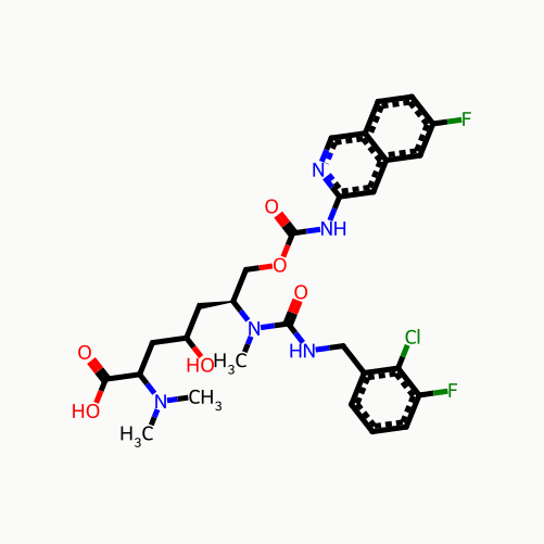 CN(C)C(CC(O)C[C@@H](COC(=O)Nc1cc2cc(F)ccc2cn1)N(C)C(=O)NCc1cccc(F)c1Cl)C(=O)O